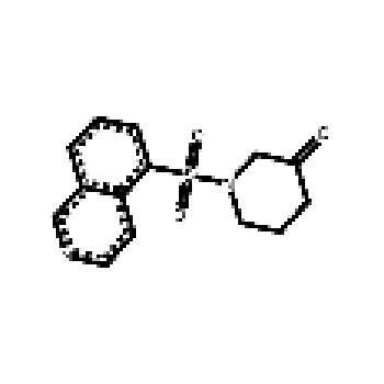 O=C1CCCN(S(=O)(=O)c2cccc3cnccc23)C1